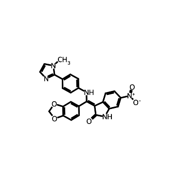 Cn1ccnc1-c1ccc(NC(=C2C(=O)Nc3cc([N+](=O)[O-])ccc32)c2ccc3c(c2)OCO3)cc1